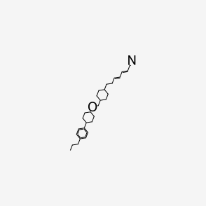 CCCc1ccc(C2CCC(OCC3CCC(CCC=CC=CC#N)CC3)CC2)cc1